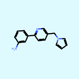 Nc1cccc(-c2ccc(Cn3cccc3)cn2)c1